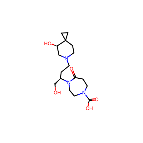 O=C(O)N1CCC(=O)N([C@@H](CO)CCN2CCC3(CC3)[C@H](O)C2)CC1